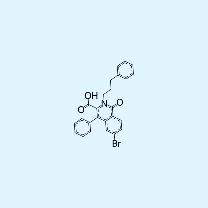 O=C(O)c1c(-c2ccccc2)c2cc(Br)ccc2c(=O)n1CCCc1ccccc1